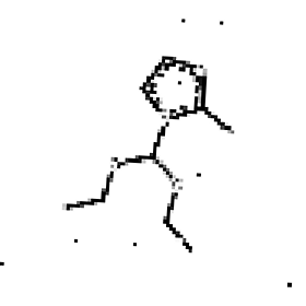 [CH2]c1nccn1C(OCC)OCC